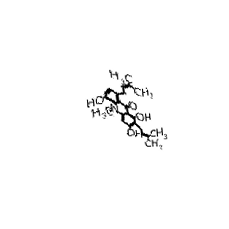 CC(C)=CCc1c(O)cc2c(c1O)c(=O)c1c(CC=C(C)C)ccc(O)c1n2C